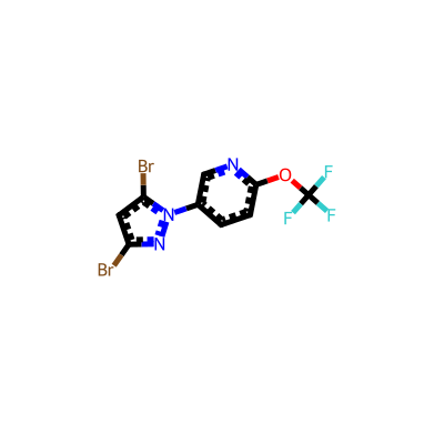 FC(F)(F)Oc1ccc(-n2nc(Br)cc2Br)cn1